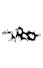 CC(C)(C)OC(=O)Nc1nccc2c1cnc1cc(Cl)ccc12